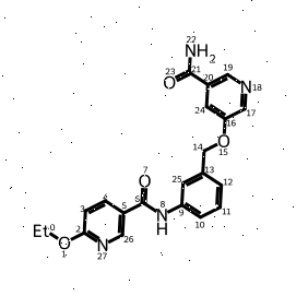 CCOc1ccc(C(=O)Nc2cccc(COc3cncc(C(N)=O)c3)c2)cn1